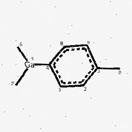 Cc1cc[c]([Ga]([CH3])[CH3])cc1